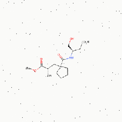 CCC[C@@H](CC1(C(=O)N[C@@H](CO)CC(=O)O)CCCC1)C(=O)OC(C)(C)C